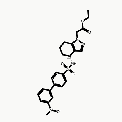 CCOC(=O)Cn1ncc2c1CCC[C@H]2NS(=O)(=O)c1ccc(-c2cccc([S+](C)[O-])c2)cc1